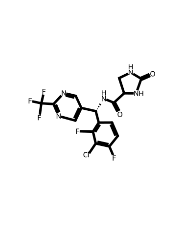 O=C1NCC(C(=O)N[C@@H](c2cnc(C(F)(F)F)nc2)c2ccc(F)c(Cl)c2F)N1